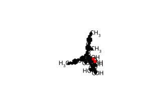 CCCCc1ccc(COc2ccc(OCC(COc3ccc(OCc4ccc(CCCC)cc4)cc3CC(=O)O)Oc3ccc(CC(CN(CCN(CC(=O)O)CC(=O)O)CC(=O)O)N(CC(=O)O)CC(=O)O)cc3)c(CC)c2)cc1